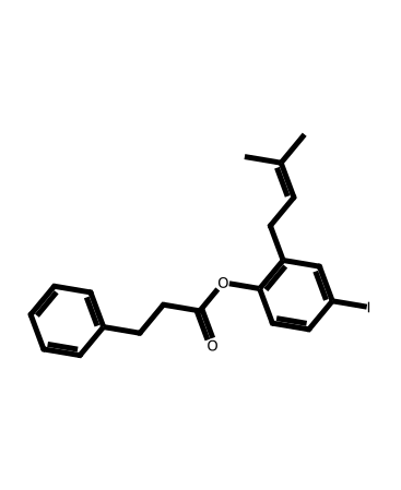 CC(C)=CCc1cc(I)ccc1OC(=O)CCc1ccccc1